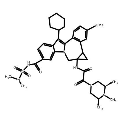 COc1ccc2c(c1)C1CC1(NC(=O)C(=O)N1C[C@@H](C)N(C)[C@@H](C)C1)Cn1c-2c(C2CCCCC2)c2ccc(C(=O)NS(=O)(=O)N(C)C)cc21